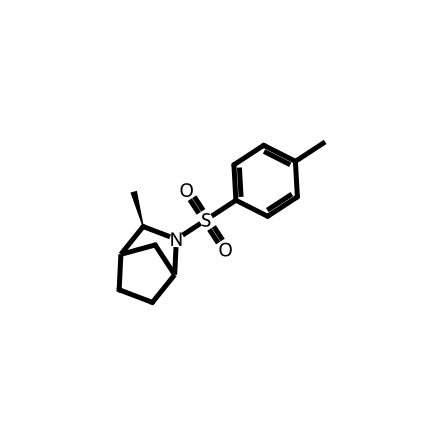 Cc1ccc(S(=O)(=O)N2C3CCC(C3)[C@H]2C)cc1